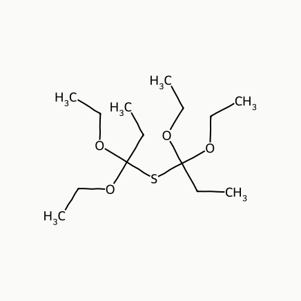 CCOC(CC)(OCC)SC(CC)(OCC)OCC